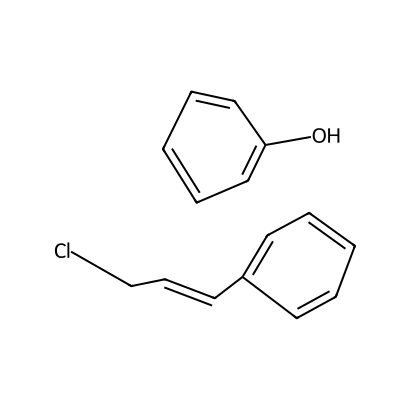 ClCC=Cc1ccccc1.Oc1ccccc1